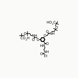 CCC(=O)NCCNC(=O)c1cc(OCC(=O)NCCC(C)(C)OCC(C)(C)C(=O)O)cc(OCC(=O)NCCC(C)(C)OCC(C)(C)C(=O)O)c1